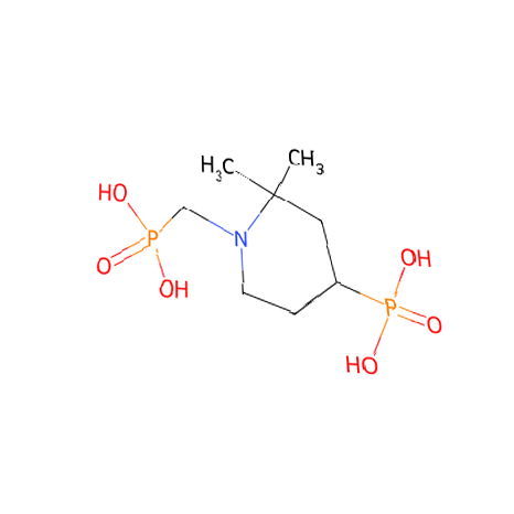 CC1(C)CC(P(=O)(O)O)CCN1CP(=O)(O)O